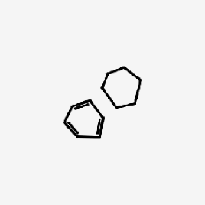 [CH]1CCCCC1.[c]1ccccc1